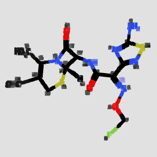 Nc1nc(/C(=N/OCF)C(=O)NC2C(=O)N3C(C(=O)O)=C(C=O)CS[C@@H]23)ns1